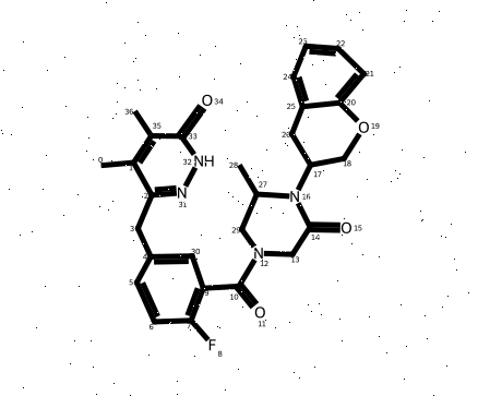 Cc1c(Cc2ccc(F)c(C(=O)N3CC(=O)N(C4COc5ccccc5C4)C(C)C3)c2)n[nH]c(=O)c1C